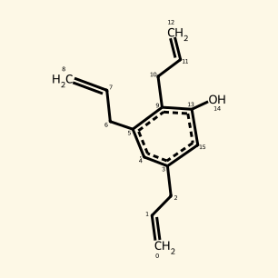 C=CCc1[c]c(CC=C)c(CC=C)c(O)c1